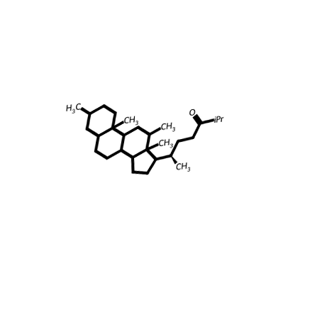 CC1CCC2(C)C(CCC3C2CC(C)C2(C)C3CCC2[C@H](C)CCC(=O)C(C)C)C1